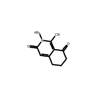 CCCCn1c(C#N)c2c(cc1=O)CCCC2=O